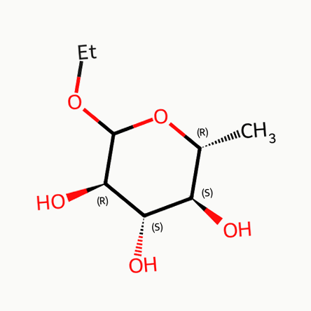 CCOC1O[C@H](C)[C@@H](O)[C@H](O)[C@H]1O